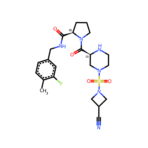 Cc1ccc(CNC(=O)[C@H]2CCCN2C(=O)[C@@H]2CN(S(=O)(=O)N3CC(C#N)C3)CCN2)cc1F